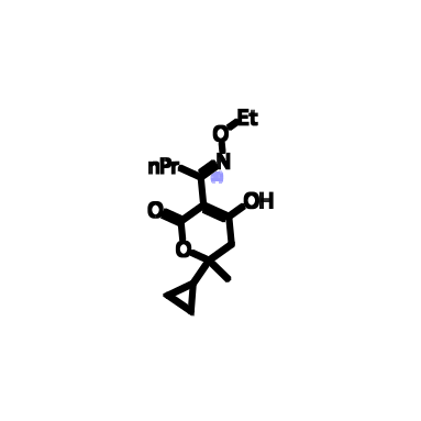 CCC/C(=N\OCC)C1=C(O)CC(C)(C2CC2)OC1=O